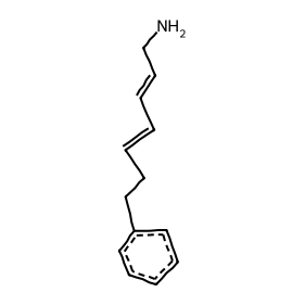 NCC=CC=CCCc1ccccc1